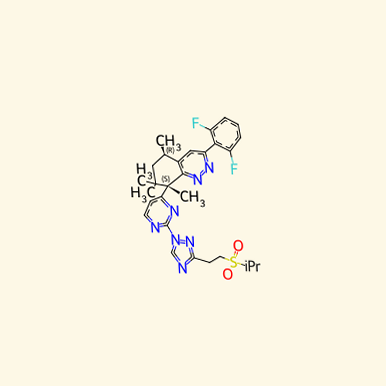 CC(C)S(=O)(=O)CCc1ncn(-c2nccc([C@@]3(C)c4nnc(-c5c(F)cccc5F)cc4[C@H](C)CC3(C)C)n2)n1